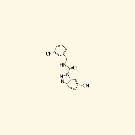 N#Cc1ccc2nnn(C(=O)NCc3cccc(Cl)c3)c2c1